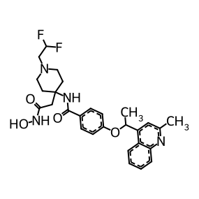 Cc1cc(C(C)Oc2ccc(C(=O)NC3(CC(=O)NO)CCN(CC(F)F)CC3)cc2)c2ccccc2n1